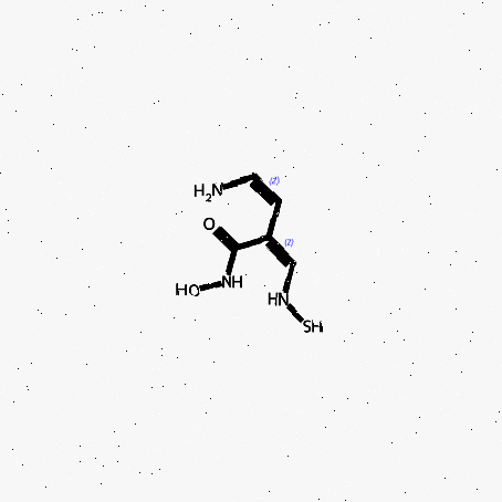 N/C=C\C(=C\NS)C(=O)NO